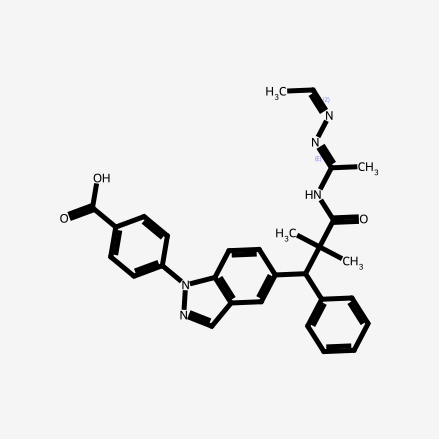 C/C=N\N=C(/C)NC(=O)C(C)(C)C(c1ccccc1)c1ccc2c(cnn2-c2ccc(C(=O)O)cc2)c1